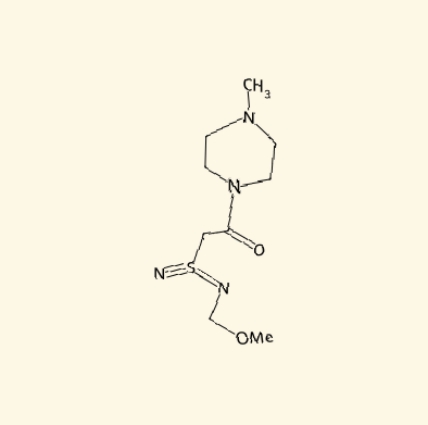 COCN=S(#N)CC(=O)N1CCN(C)CC1